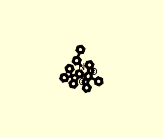 c1ccc(-c2cccc(N(c3ccc4c(c3)C(c3ccccc3)(c3ccccc3)c3ccccc3-4)c3cccc4oc5c(-c6ccccc6)c6c(cc5c34)oc3ccccc36)c2)cc1